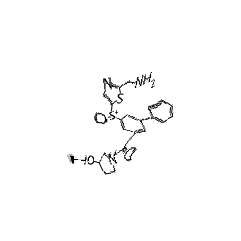 NCc1ncc([S+]([O-])c2cc(C(=O)N3CCC(O)C3)cc(-c3ccccc3)c2)s1